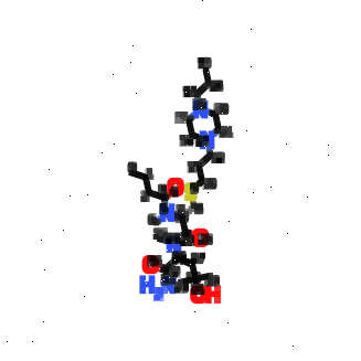 CCCC(=O)N(C)[C@H](CSCCCN1CCN(CCC)CC1)C(=O)N(C)[C@@H](CC(C)(C)O)C(N)=O